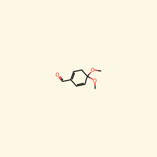 COC1(OC)C=CC(C=O)=CC1